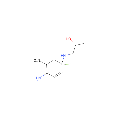 CC(O)CNC1(F)C=CC(N)=C([N+](=O)[O-])C1